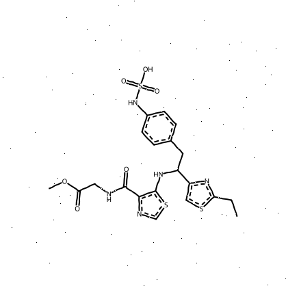 CCc1nc(C(Cc2ccc(NS(=O)(=O)O)cc2)Nc2scnc2C(=O)NCC(=O)OC)cs1